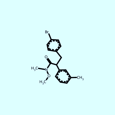 CON(C)C(=O)C(Cc1ccc(Br)cc1)c1cccc(C)c1